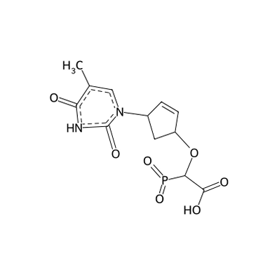 Cc1cn(C2C=CC(OC(C(=O)O)P(=O)=O)C2)c(=O)[nH]c1=O